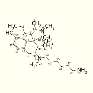 CCCC(C(C)N(C)C)C1(CC)c2cc(O)ccc2CC(N(C)CCCCCCN)C1C